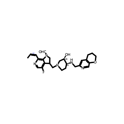 C/C=C\c1ncc(F)c2c1N(C=O)CC2CN1CC[C@H](NCc2cc3c(cn2)OCCC3)[C@H](O)C1